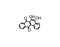 O=C1c2ccccc2C(=O)c2c1c(O)c(O)c1ncccc21